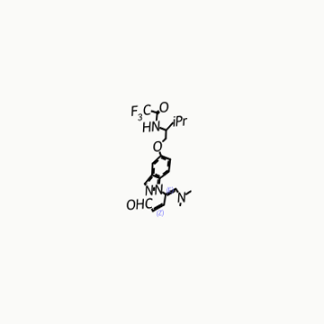 CC(C)C(COc1ccc2c(cnn2C(/C=C\C=O)=C/N(C)C)c1)NC(=O)C(F)(F)F